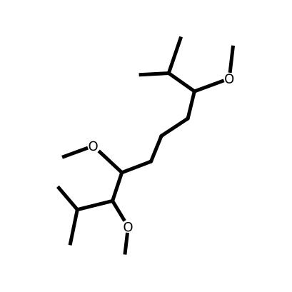 COC(CCCC(OC)C(OC)C(C)C)C(C)C